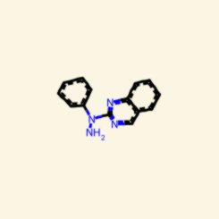 NN(c1ccccc1)c1ncc2ccccc2n1